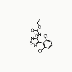 CCOC(=O)Nc1nsnc1-c1c(Cl)cccc1Cl